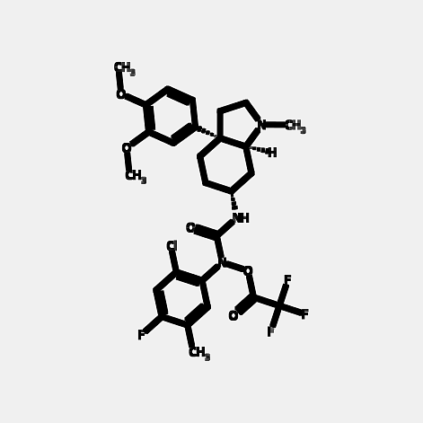 COc1ccc([C@@]23CC[C@@H](NC(=O)N(OC(=O)C(F)(F)F)c4cc(C)c(F)cc4Cl)C[C@@H]2N(C)CC3)cc1OC